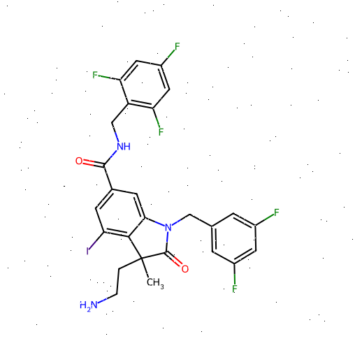 CC1(CCN)C(=O)N(Cc2cc(F)cc(F)c2)c2cc(C(=O)NCc3c(F)cc(F)cc3F)cc(I)c21